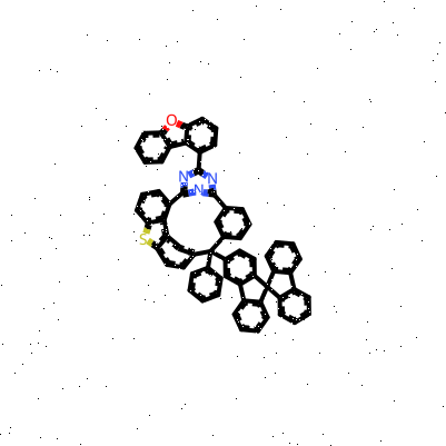 c1ccc(C2(c3ccc4c(c3)-c3ccccc3C43c4ccccc4-c4ccccc43)c3cccc(c3)-c3nc(-c4cccc5oc6ccccc6c45)nc(n3)-c3cccc4sc5ccc2cc5c34)cc1